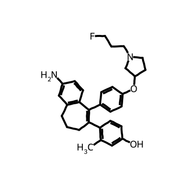 Cc1cc(O)ccc1C1=C(c2ccc(OC3CCN(CCCF)C3)cc2)c2ccc(N)cc2CCC1